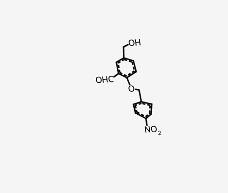 O=Cc1cc(CO)ccc1OCc1ccc([N+](=O)[O-])cc1